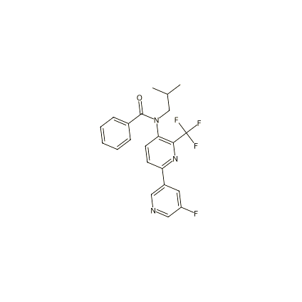 CC(C)CN(C(=O)c1ccccc1)c1ccc(-c2cncc(F)c2)nc1C(F)(F)F